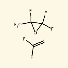 C=C(F)F.FC(F)(F)C1(F)OC1(F)F